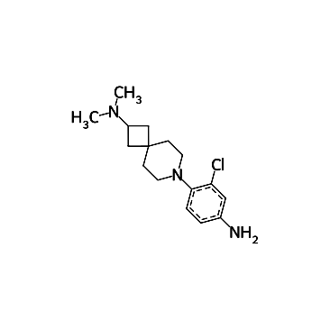 CN(C)C1CC2(CCN(c3ccc(N)cc3Cl)CC2)C1